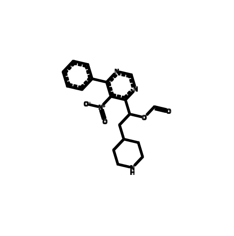 O=COC(CC1CCNCC1)c1ncnc(-c2ccccc2)c1[N+](=O)[O-]